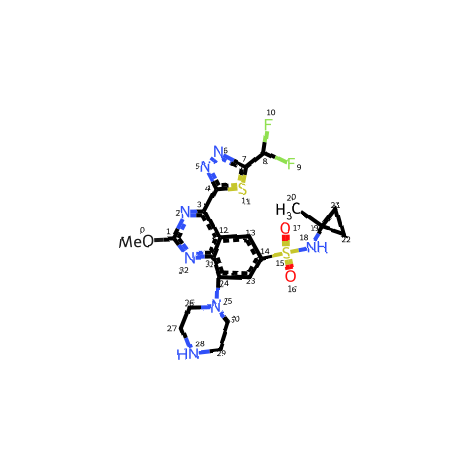 COc1nc(-c2nnc(C(F)F)s2)c2cc(S(=O)(=O)NC3(C)CC3)cc(N3CCNCC3)c2n1